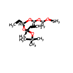 C=C[SiH](O[SiH2]O[SiH2]O[SiH3])O[Si](C)(C=C)O[Si](C)(C)C